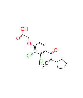 C=C(C(=O)c1ccc(OCC(=O)O)c(Cl)c1Cl)C1CCCC1